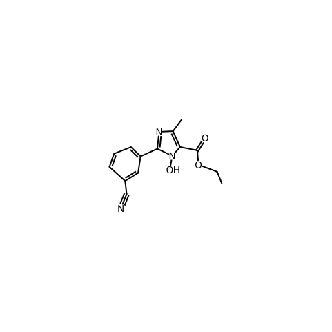 CCOC(=O)c1c(C)nc(-c2cccc(C#N)c2)n1O